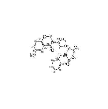 CC(COC1C(=O)SC(=O)N1Cc1ccccc1)N1COc2ccc(C#N)cc2C1=O